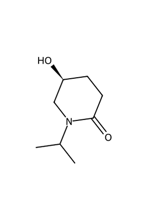 CC(C)N1C[C@@H](O)CCC1=O